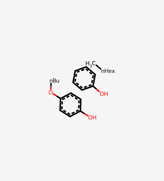 CCCCCCC.CCCCOc1ccc(O)cc1.Oc1ccccc1